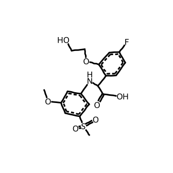 COc1cc(NC(C(=O)O)c2ccc(F)cc2OCCO)cc(S(C)(=O)=O)c1